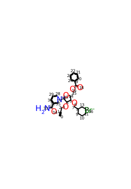 C#CCO[C@@H]1[C@H](OCC2CCCCC2)[C@@H](COC(=O)c2ccccc2)O[C@H]1[n+]1cccc(C(N)=O)c1.[Br-]